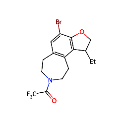 CCC1COc2c(Br)cc3c(c21)CCN(C(=O)C(F)(F)F)CC3